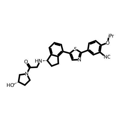 [C-]#[N+]c1cc(-c2ncc(-c3cccc4c3CC[C@@H]4NCC(=O)N3CC[C@H](O)C3)s2)ccc1OC(C)C